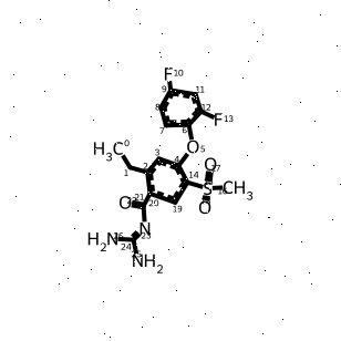 CCc1cc(Oc2ccc(F)cc2F)c(S(C)(=O)=O)cc1C(=O)N=C(N)N